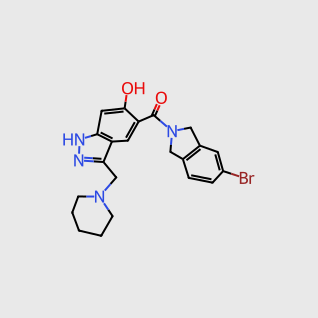 O=C(c1cc2c(CN3CCCCC3)n[nH]c2cc1O)N1Cc2ccc(Br)cc2C1